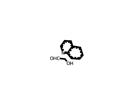 O=CCO.c1ccc2ncccc2c1